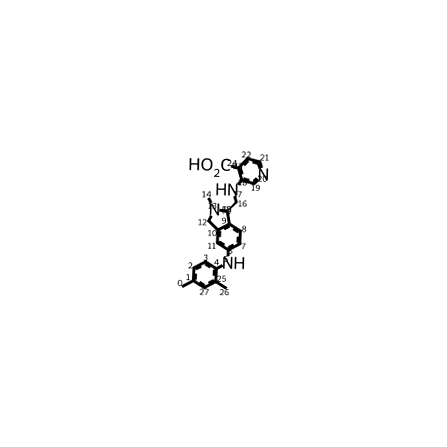 Cc1ccc(Nc2ccc3c(c2)CN(C)[C@H]3CNc2cnccc2C(=O)O)c(C)c1